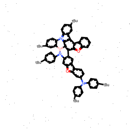 CC(C)(C)c1ccc(N2B3c4cc(C(C)(C)C)ccc4-n4c5ccc(C(C)(C)C)cc5c5c6c(oc7ccccc76)c(c3c54)-c3cc4c(cc32)oc2cc(N(c3ccc(C(C)(C)C)cc3)c3ccc(C(C)(C)C)cc3)ccc24)cc1